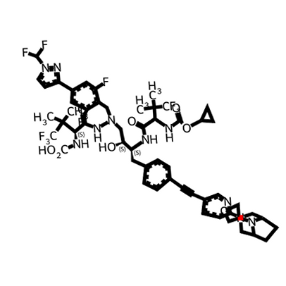 CC(C)(C(NC(=O)OC1CC1)C(=O)N[C@@H](Cc1ccc(C#Cc2ccc(N3CC4CCC(C3)N4C3COC3)nc2)cc1)[C@@H](O)CN(Cc1c(F)cc(-c2ccn(C(F)F)n2)cc1F)NC(=O)[C@@H](NC(=O)O)C(C)(C)C(F)(F)F)C(F)(F)F